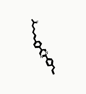 C=CCc1ccc(-c2ncc(-c3ccc(/C=C/CCCC(C)F)cc3)cn2)cc1